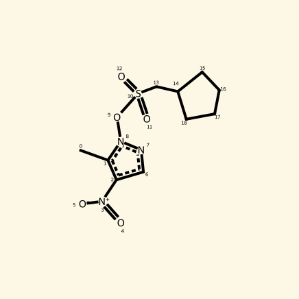 Cc1c([N+](=O)[O-])cnn1OS(=O)(=O)CC1CCCC1